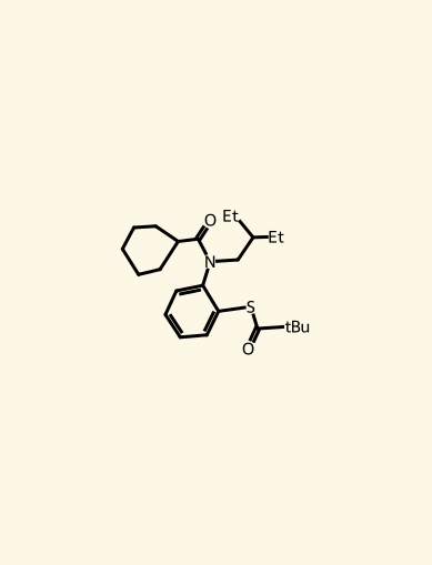 CCC(CC)CN(C(=O)C1CCCCC1)c1ccccc1SC(=O)C(C)(C)C